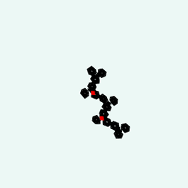 C1=CCC(n2c3ccc(-c4ccc5c(c4)c4ccccc4n5-c4ccccc4)cc3c3cc(-c4ccc5c(c4)c4cc(-c6ccc7c(c6)c6cc(-c8ccc9c(c8)c8ccccc8n9-c8ccccc8)ccc6n7-c6ccccc6)ccc4n5-c4ccccc4)ccc32)C=C1